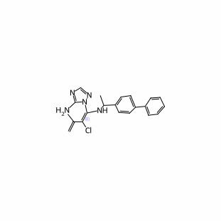 C=C(C)/C(Cl)=C(/NC(C)c1ccc(-c2ccccc2)cc1)n1ncnc1N